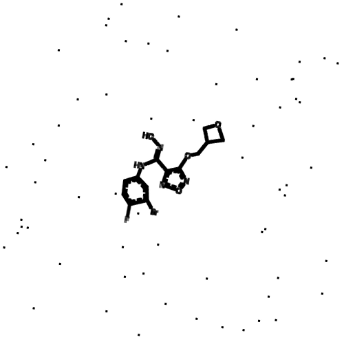 O/N=C(\Nc1ccc(F)c(Br)c1)c1nonc1OCC1COC1